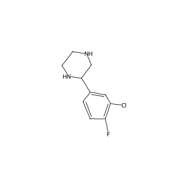 Fc1ccc(C2CNCCN2)cc1Cl